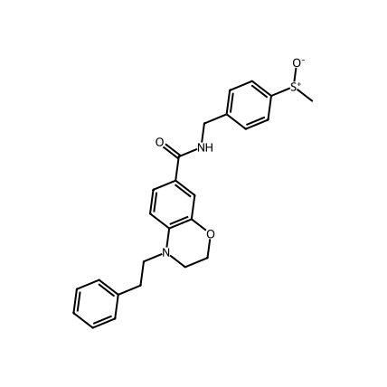 C[S+]([O-])c1ccc(CNC(=O)c2ccc3c(c2)OCCN3CCc2ccccc2)cc1